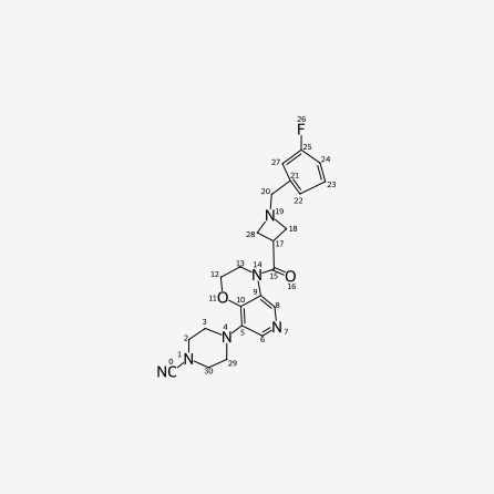 N#CN1CCN(c2cncc3c2OCCN3C(=O)C2CN(Cc3cccc(F)c3)C2)CC1